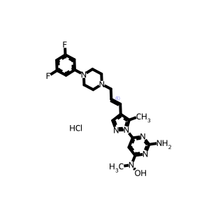 Cc1c(/C=C/CN2CCN(c3cc(F)cc(F)c3)CC2)cnn1-c1cc(N(C)O)nc(N)n1.Cl